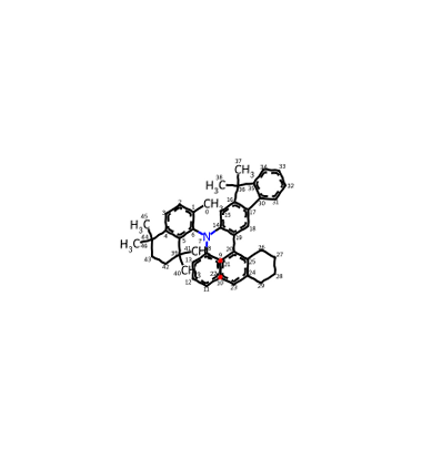 Cc1ccc2c(c1N(c1ccccc1)c1cc3c(cc1-c1cccc4c1CCCC4)-c1ccccc1C3(C)C)C(C)(C)CCC2(C)C